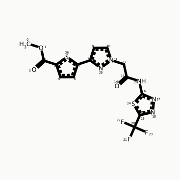 COC(=O)c1ccc(-c2ccn(CC(=O)Nc3nnc(C(F)(F)F)s3)n2)s1